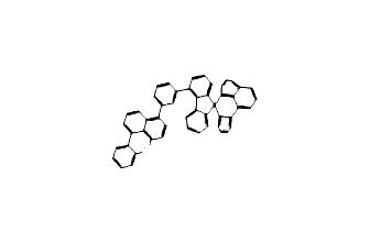 c1cc(-c2cccc3c2-c2ccccc2C32c3ccccc3-c3cccc4cccc2c34)cc(-c2ccc3c4c(cccc24)-c2ccccc2S3)c1